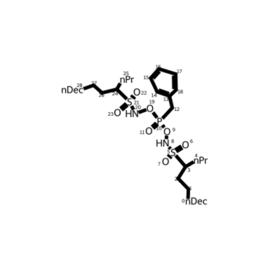 CCCCCCCCCCCCC(CCC)S(=O)(=O)NOP(=O)(Cc1ccccc1)ONS(=O)(=O)C(CCC)CCCCCCCCCCCC